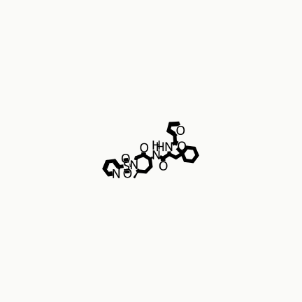 C[C@@H]1CC[C@H](NC(=O)C(CC2(C)CCCCC2)NC(=O)c2ccco2)C(=O)CN1S(=O)(=O)c1ccccn1